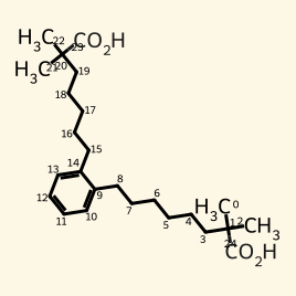 CC(C)(CCCCCCc1ccccc1CCCCCC(C)(C)C(=O)O)C(=O)O